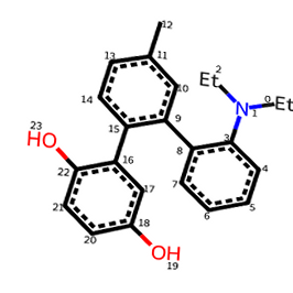 CCN(CC)c1ccccc1-c1cc(C)ccc1-c1cc(O)ccc1O